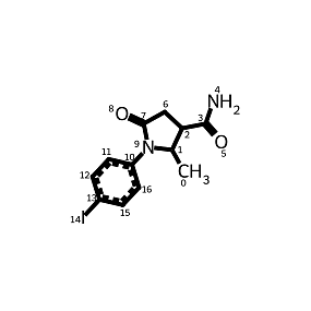 CC1C(C(N)=O)CC(=O)N1c1ccc(I)cc1